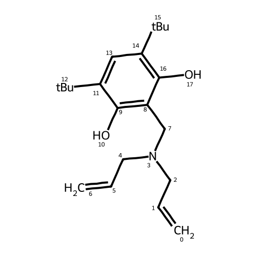 C=CCN(CC=C)Cc1c(O)c(C(C)(C)C)cc(C(C)(C)C)c1O